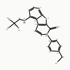 O=c1c2sc3nccc(NCC(F)(F)F)c3c2ccn1-c1ccc(CI)cc1